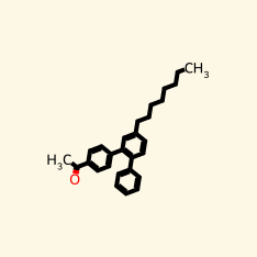 CCCCCCCCc1ccc(-c2ccccc2)c(-c2ccc(C(C)=O)cc2)c1